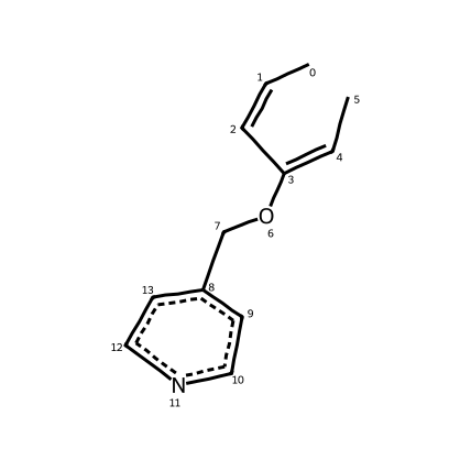 C/C=C\C(=C/C)OCc1ccncc1